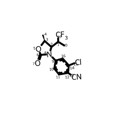 CC(C1[C@H](C)OC(=O)N1c1ccc(C#N)c(Cl)c1)C(F)(F)F